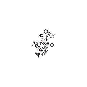 [2H]C([2H])([2H])O[C@H]1C(=O)[C@]2(C)[C@@H](OC([2H])([2H])[2H])C[C@H]3OC[C@@]3(OC(C)=O)[C@H]2[C@H](OC(=O)c2ccccc2)[C@]2(O)C[C@H](OC(=O)[C@H](O)[C@@H](NC(=O)OC(C)(C)C)c3ccccc3)C(C)=C1C2(C)C